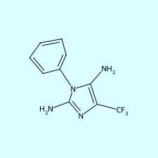 Nc1nc(C(F)(F)F)c(N)n1-c1ccccc1